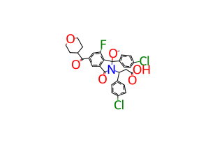 CO[C@]1(c2ccc(Cl)cc2)c2c(F)cc(C(=O)C3CCOCC3)cc2C(=O)N1C(CC(=O)O)c1ccc(Cl)cc1